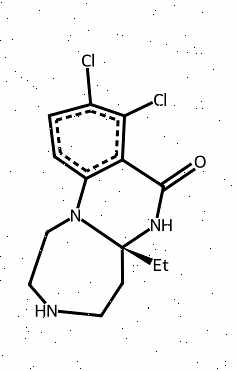 CC[C@@]12CCNCCN1c1ccc(Cl)c(Cl)c1C(=O)N2